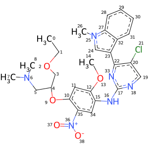 CCOCC(CN(C)C)Oc1cc(OC)c(Nc2ncc(Cl)c(-c3cn(C)c4ccccc34)n2)cc1[N+](=O)[O-]